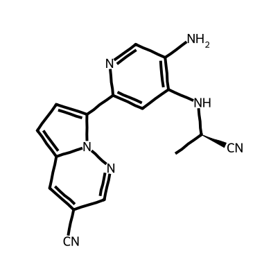 C[C@H](C#N)Nc1cc(-c2ccc3cc(C#N)cnn23)ncc1N